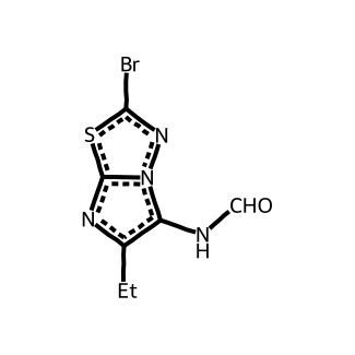 CCc1nc2sc(Br)nn2c1NC=O